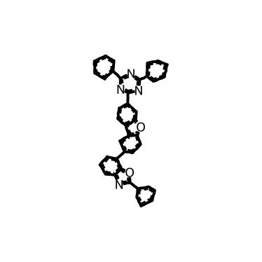 c1ccc(-c2nc(-c3ccccc3)nc(-c3ccc4c(c3)oc3ccc(-c5cccc6nc(-c7ccccc7)oc56)cc34)n2)cc1